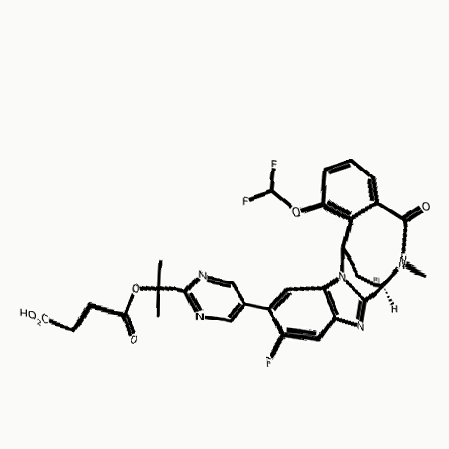 CN1C(=O)c2cccc(OC(F)F)c2C2C[C@@H]1c1nc3cc(F)c(-c4cnc(C(C)(C)OC(=O)CCC(=O)O)nc4)cc3n12